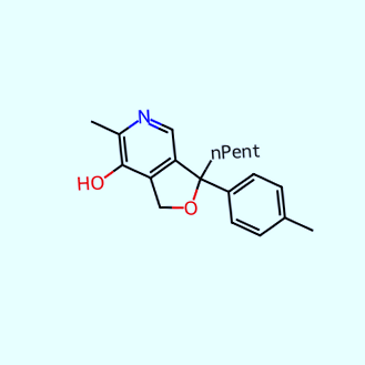 CCCCCC1(c2ccc(C)cc2)OCc2c1cnc(C)c2O